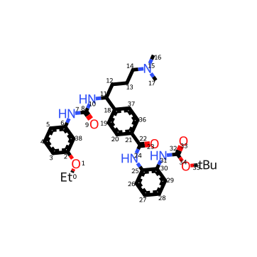 CCOc1cccc(NC(=O)NC(CCCN(C)C)c2ccc(C(=O)Nc3ccccc3NC(=O)OC(C)(C)C)cc2)c1